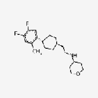 Cc1cc(F)c(F)cc1[C@H]1CC[C@H](CCNC2CCOCC2)CC1